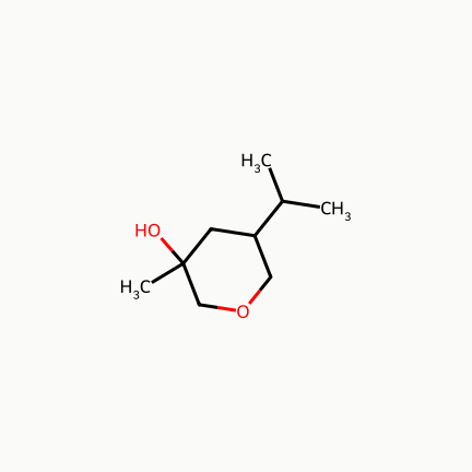 CC(C)C1COCC(C)(O)C1